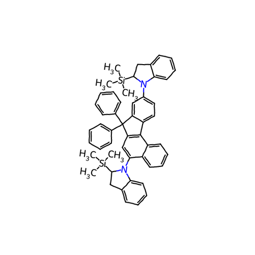 C[Si](C)(C)C1Cc2ccccc2N1c1ccc2c(c1)C(c1ccccc1)(c1ccccc1)c1cc(N3c4ccccc4CC3[Si](C)(C)C)c3ccccc3c1-2